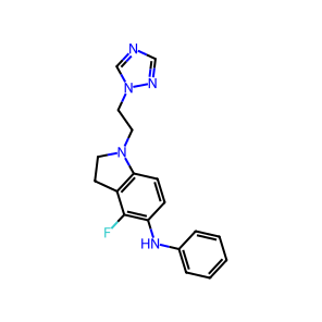 Fc1c(Nc2ccccc2)ccc2c1CCN2CCn1cncn1